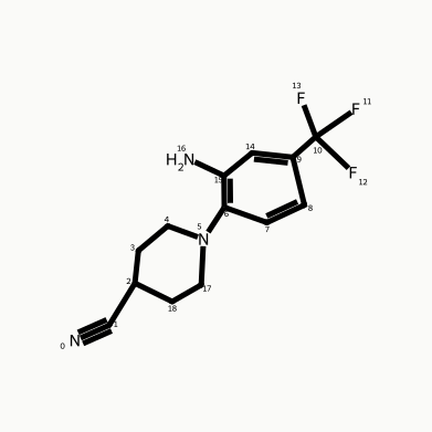 N#CC1CCN(c2ccc(C(F)(F)F)cc2N)CC1